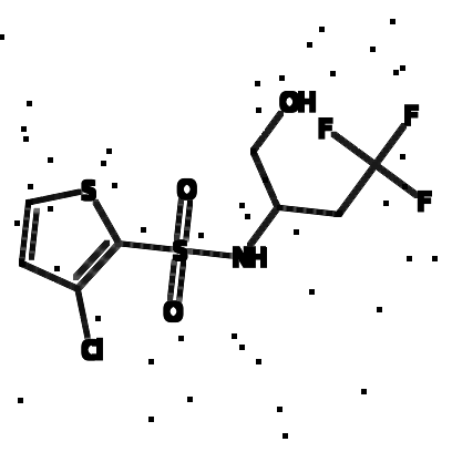 O=S(=O)(NC(CO)CC(F)(F)F)c1sccc1Cl